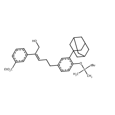 CCOC(=O)c1cccc(/C(=C/CCc2ccc(O[Si](C)(C)C(C)(C)C)c(C34CC5CC(CC(C5)C3)C4)c2)CO)c1